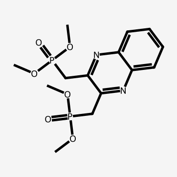 COP(=O)(Cc1nc2ccccc2nc1CP(=O)(OC)OC)OC